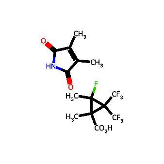 CC1(F)C(C)(C(=O)O)C1(C(F)(F)F)C(F)(F)F.CC1=C(C)C(=O)NC1=O